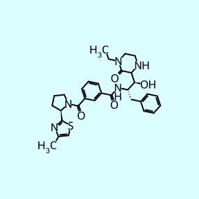 CCN1CCNC([C@@H](O)[C@H](Cc2ccccc2)NC(=O)c2cccc(C(=O)N3CCC[C@@H]3c3nc(C)cs3)c2)C1=O